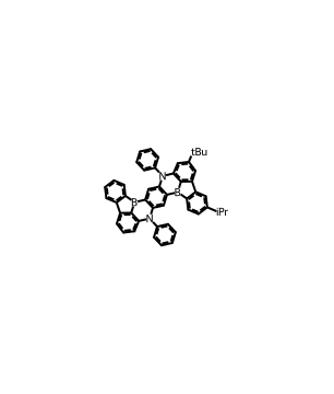 CC(C)c1ccc2c(c1)-c1cc(C(C)(C)C)cc3c1B2c1cc2c(cc1N3c1ccccc1)B1c3ccccc3-c3cccc(c31)N2c1ccccc1